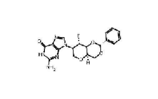 Nc1nc2c(ncn2[C@@H]2CO[C@@H]3CO[C@@H](c4ccccc4)OC3[C@H]2F)c(=O)[nH]1